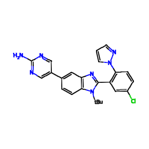 CC(C)(C)n1c(-c2cc(Cl)ccc2-n2cccn2)nc2cc(-c3cnc(N)nc3)ccc21